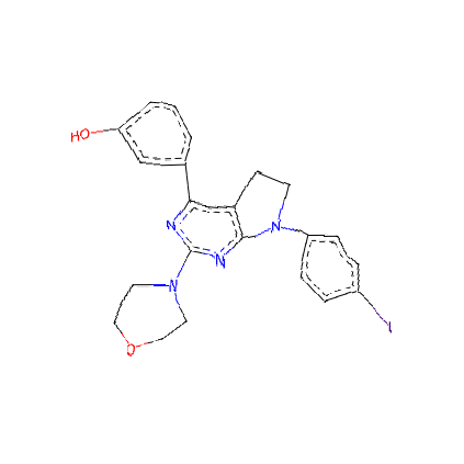 Oc1cccc(-c2nc(N3CCOCC3)nc3c2CCN3c2ccc(I)cc2)c1